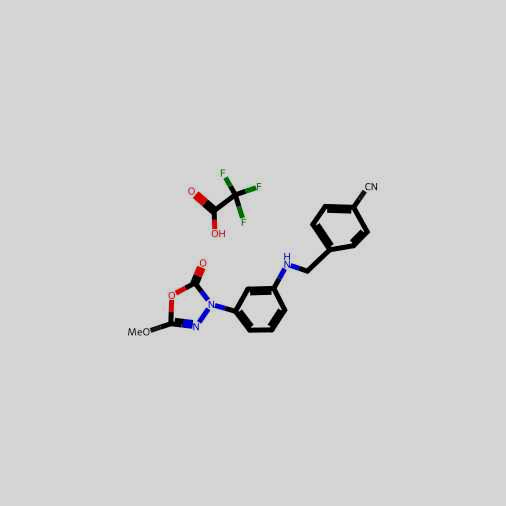 COc1nn(-c2cccc(NCc3ccc(C#N)cc3)c2)c(=O)o1.O=C(O)C(F)(F)F